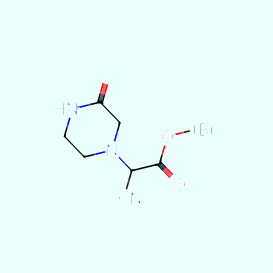 CC(C)(C)OC(=O)C(C#N)N1CCNC(=O)C1